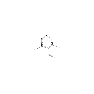 [N]=Nc1c(N)ccnc1N